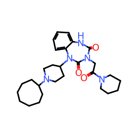 O=C(CN1C(=O)Nc2ccccc2N(C2CCN(C3CCCCCCC3)CC2)C1=O)N1CCCCC1